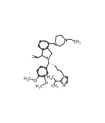 CCN1CCN(c2cccc3c2CN([C@H](CCCn2ccnc2C(C)C)c2ccc(OC)c(OC)c2)C3C=O)CC1